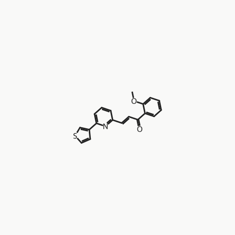 COc1ccccc1C(=O)/C=C/c1cccc(-c2ccsc2)n1